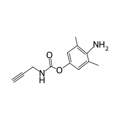 C#CCNC(=O)Oc1cc(C)c(N)c(C)c1